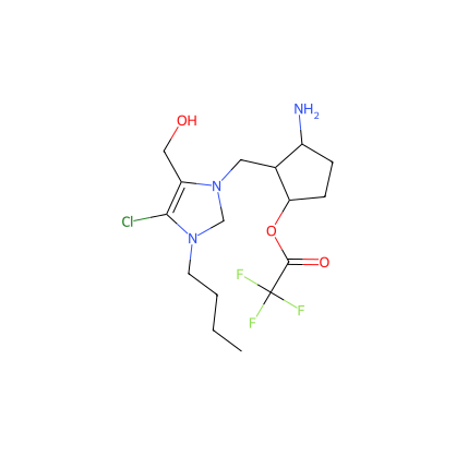 CCCCN1CN(CC2C(N)CCC2OC(=O)C(F)(F)F)C(CO)=C1Cl